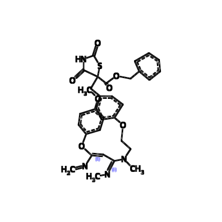 C=N/C(=C\C(=N/C)N(C)CCOc1ccc(CC2(C(=O)OCc3ccccc3)SC(=O)NC2=O)cc1)Oc1ccc(OC)cc1